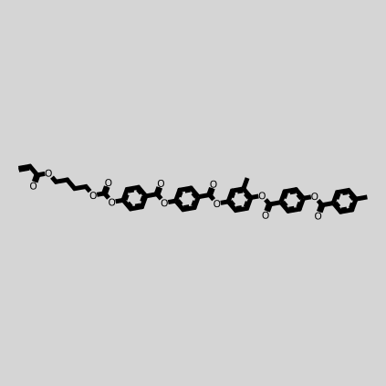 C=CC(=O)OCCCCOC(=O)Oc1ccc(C(=O)Oc2ccc(C(=O)Oc3ccc(OC(=O)c4ccc(OC(=O)c5ccc(C)cc5)cc4)c(C)c3)cc2)cc1